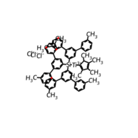 CC1=C(C)C(C)[C]([Ti+3][Si](c2cc(-c3cccc(C)c3)cc(-c3cccc(C)c3)c2)(c2cc(-c3cccc(C)c3)cc(-c3cccc(C)c3)c2)c2cc(-c3cccc(C)c3)cc(-c3cccc(C)c3)c2)=C1C.[Cl-].[Cl-].[Cl-]